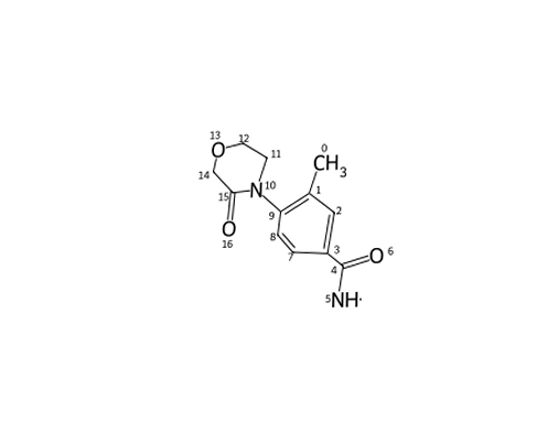 Cc1cc(C([NH])=O)ccc1N1CCOCC1=O